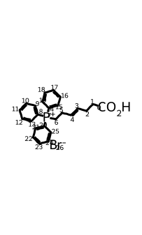 O=C(O)CC/C=C/CC[P+](c1ccccc1)(c1ccccc1)c1ccccc1.[Br-]